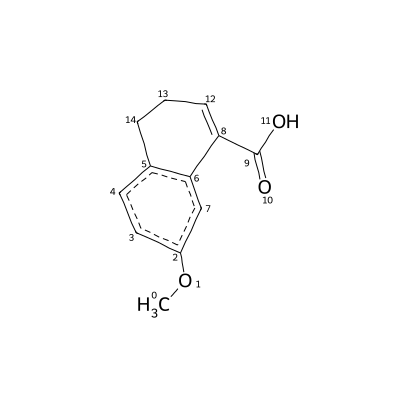 COc1ccc2c(c1)C(C(=O)O)=CCC2